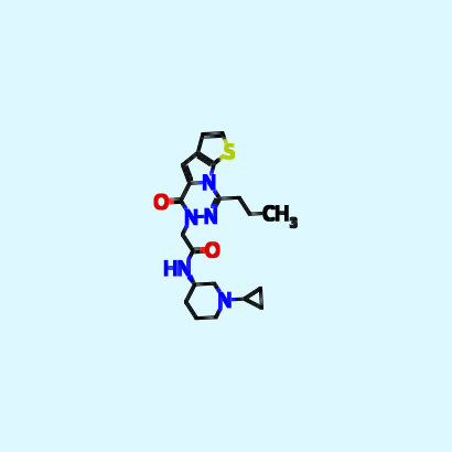 CCCc1nn(CC(=O)N[C@@H]2CCCN(C3CC3)C2)c(=O)c2cc3ccsc3n12